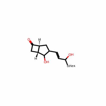 CCCCCCC(O)C=CC1C[C@@H]2C(=O)C[C@H]2C1O